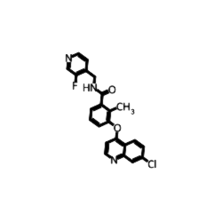 Cc1c(Oc2ccnc3cc(Cl)ccc23)cccc1C(=O)NCc1ccncc1F